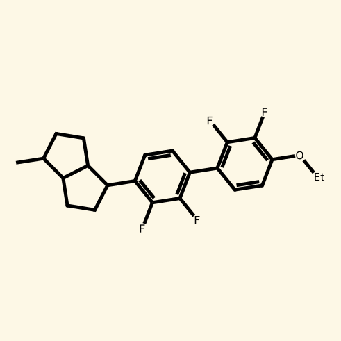 CCOc1ccc(-c2ccc(C3CCC4C(C)CCC34)c(F)c2F)c(F)c1F